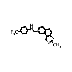 Cc1ncc2c(ccc3ccc(CNc4ccc(C(F)(F)F)cc4)cc32)n1